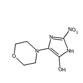 O=[N+]([O-])c1nc(N2CCOCC2)c(O)[nH]1